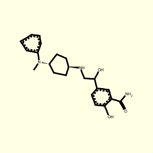 CN(c1ccccc1)[C@H]1CC[C@H](NCC(O)c2ccc(O)c(C(N)=O)c2)CC1